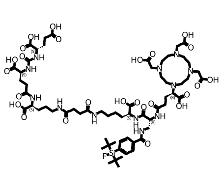 CC(C)(C)[Si](F)(c1ccc(C(=O)NC[C@@H](NC(=O)CC[C@H](C(=O)O)N2CCN(CC(=O)O)CCN(CC(=O)O)CCN(CC(=O)O)CC2)C(=O)N[C@@H](CCCCNC(=O)CCC(=O)NCCC[C@H](NC(=O)CC[C@H](NC(=O)N[C@@H](CCC(=O)O)C(=O)O)C(=O)O)C(=O)O)C(=O)O)cc1)C(C)(C)C